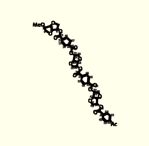 CO[C@H]1COC2C1OC[C@H]2OC(=O)c1ccc(C(=O)O[C@H]2COC3C2OC[C@H]3OC(=O)c2ccc(C(=O)O[C@H]3COC4C3OC[C@H]4OC(=O)c3ccc(C(C)=O)cc3)cc2)cc1